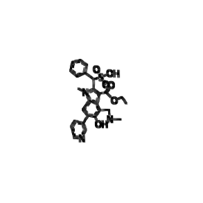 CCOC(=O)c1c(C(c2ccccc2)S(=O)(=O)O)n(C)c2cc(-c3cccnc3)c(O)c(CN(C)C)c12